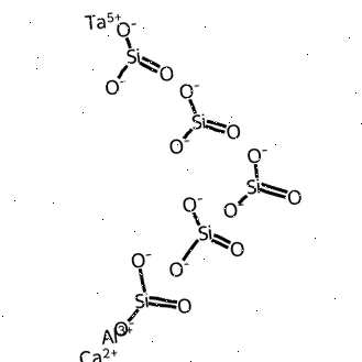 O=[Si]([O-])[O-].O=[Si]([O-])[O-].O=[Si]([O-])[O-].O=[Si]([O-])[O-].O=[Si]([O-])[O-].[Al+3].[Ca+2].[Ta+5]